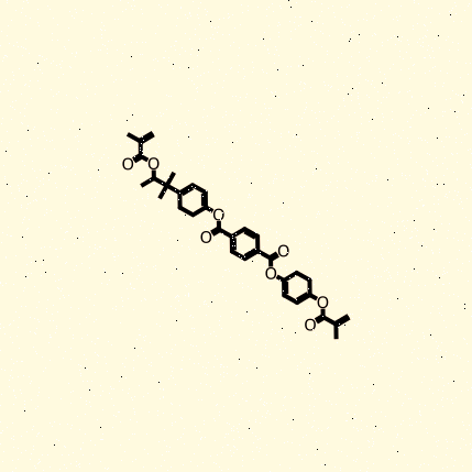 C=C(C)C(=O)OC1=CC=C(OC(=O)c2ccc(C(=O)OC3=CC=C(C(C)(C)C(C)OC(=O)C(=C)C)CC3)cc2)CC1